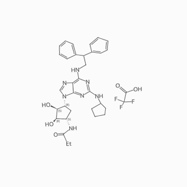 CCC(=O)N[C@H]1C[C@@H](n2cnc3c(NCC(c4ccccc4)c4ccccc4)nc(NC4CCCC4)nc32)[C@H](O)[C@@H]1O.O=C(O)C(F)(F)F